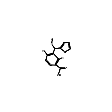 COC(c1ccco1)c1c(Cl)ccc(C(=O)O)c1Cl